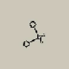 O=c1c(C#Cc2ccccc2)c(C#Cc2ccccc2)c1=O